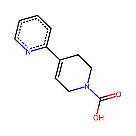 O=C(O)N1CC=C(c2ccccn2)CC1